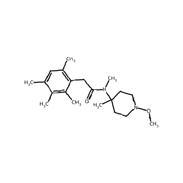 CON1CCC(C)(N(C)C(=O)Cc2c(C)cc(C)c(C)c2C)CC1